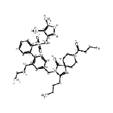 CCCCC1=NC2(CCN(C(=O)CCF)CC2)C(=O)N1Cc1ccc(-c2ccccc2S(=O)(=O)Nc2noc(C)c2C)c(COCC)c1